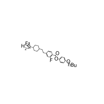 CCCCOc1ccc(OC(=O)c2ccc(CCC3CCC([SiH2]CC)CC3)cc2F)cc1